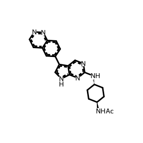 CC(=O)N[C@H]1CC[C@H](Nc2ncc3c(-c4ccc5nnccc5c4)c[nH]c3n2)CC1